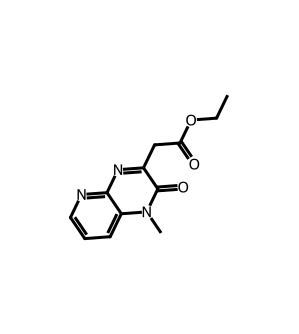 CCOC(=O)Cc1nc2ncccc2n(C)c1=O